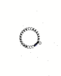 O=C1/C=C\CCCCCCCCCCCCCCCCCCCCC1